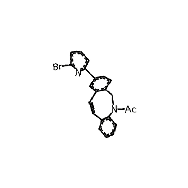 CC(=O)N1Cc2ccc(-c3cccc(Br)n3)cc2/C=C\c2ccccc21